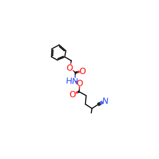 CC(C#N)CCC(=O)ONC(=O)OCc1ccccc1